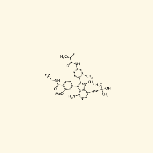 C=C(F)C(=O)Nc1ccc(-c2c(-c3ccc(C(=O)NCC(F)(F)F)c(OC)c3)c3c(N)ncc(C#CC(C)(C)O)c3n2C)c(C)c1